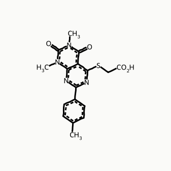 Cc1ccc(-c2nc(SCC(=O)O)c3c(=O)n(C)c(=O)n(C)c3n2)cc1